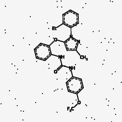 CCc1ccccc1-n1nc(C)cc1Oc1ccccc1NC(=O)Nc1ccc(OC(F)(F)F)cc1